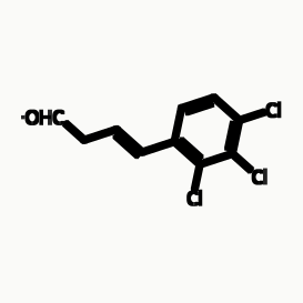 O=[C]CC=Cc1ccc(Cl)c(Cl)c1Cl